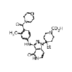 CCC1(n2nc(Nc3ccc(C(=O)N4CCOCC4)c(C)c3)c3c(=O)[nH]ccc32)CCN(C(=O)O)CC1